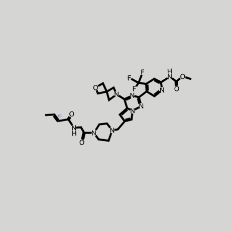 C/C=C/C(=O)NCC(=O)N1CCN(Cc2cc3c(N4CC5(COC5)C4)nc(-c4cnc(NC(=O)OC)cc4C(F)(F)F)nn3c2)CC1